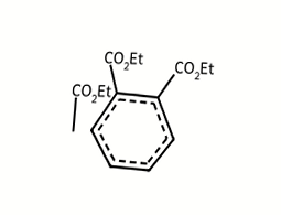 CCOC(=O)c1ccccc1C(=O)OCC.CCOC(C)=O